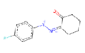 O=C1CCCC/C1=N/Nc1ccc(F)cc1